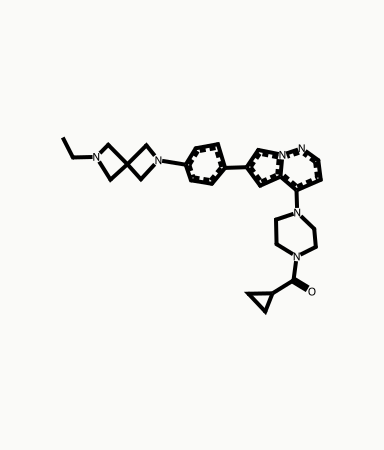 CCN1CC2(C1)CN(c1ccc(-c3cc4c(N5CCN(C(=O)C6CC6)CC5)ccnn4c3)cc1)C2